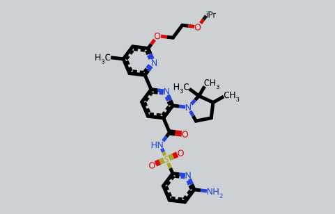 Cc1cc(OCCOC(C)C)nc(-c2ccc(C(=O)NS(=O)(=O)c3cccc(N)n3)c(N3CCC(C)C3(C)C)n2)c1